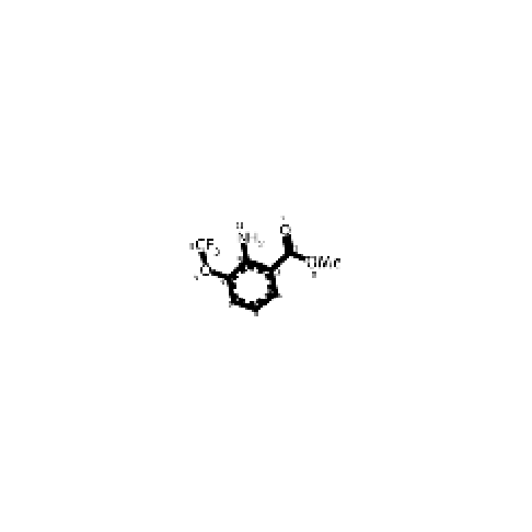 COC(=O)c1cccc(OC(F)(F)F)c1N